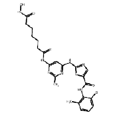 Cc1nc(NC(=O)CCCCCC(=O)NO)cc(Nc2ncc(C(=O)Nc3c(C)cccc3Cl)s2)n1